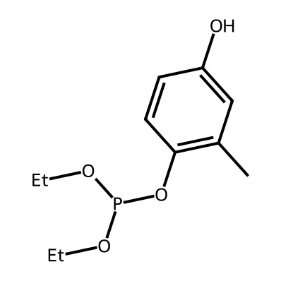 CCOP(OCC)Oc1ccc(O)cc1C